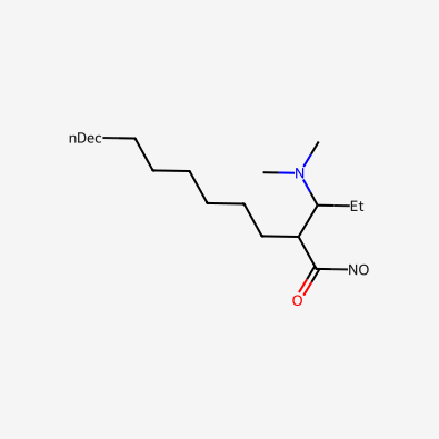 CCCCCCCCCCCCCCCCC(C(=O)N=O)C(CC)N(C)C